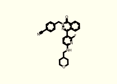 N#Cc1ccc(Cn2nc(-c3ccc(NCC4CCOCC4)nc3F)c3ccccc3c2=O)cc1